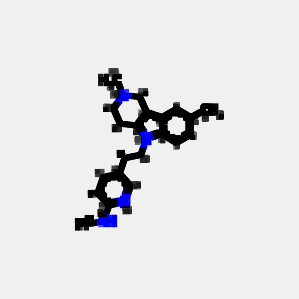 Cc1ccc2c(c1)c1c(n2CCc2ccc(NC(C)C)nc2)CCN(C)C1